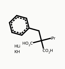 CC(C)C(Cc1ccccc1)(C(=O)O)C(=O)O.[KH].[LiH]